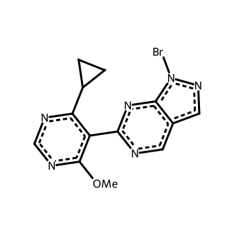 COc1ncnc(C2CC2)c1-c1ncc2cnn(Br)c2n1